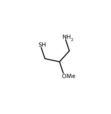 COC(CN)CS